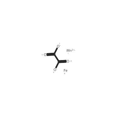 O=C([O-])C(=O)[O-].[Fe].[Mn+2]